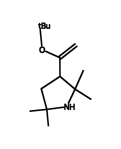 C=C(OC(C)(C)C)C1CC(C)(C)NC1(C)C